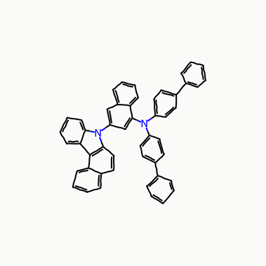 c1ccc(-c2ccc(N(c3ccc(-c4ccccc4)cc3)c3cc(-n4c5ccccc5c5c6ccccc6ccc54)cc4ccccc34)cc2)cc1